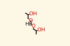 CC(O)COBOCC(C)O